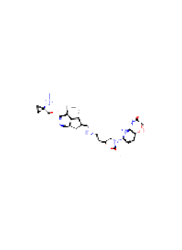 Cc1c(OCC2(N)CC2)ncc2c1CC(CNCCC1CN(c3ccc4c(n3)NC(=O)CO4)C(=O)O1)C2